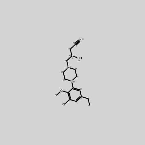 CCc1cc(Cl)c(OC)c(N2CCN(C[C@H](O)CC#N)CC2)c1